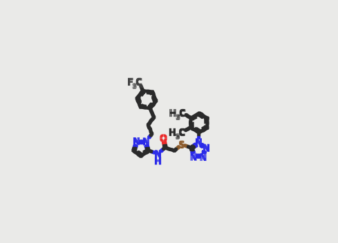 Cc1cccc(-n2nnnc2SCC(=O)Nc2ccnn2CCCc2ccc(C(F)(F)F)cc2)c1C